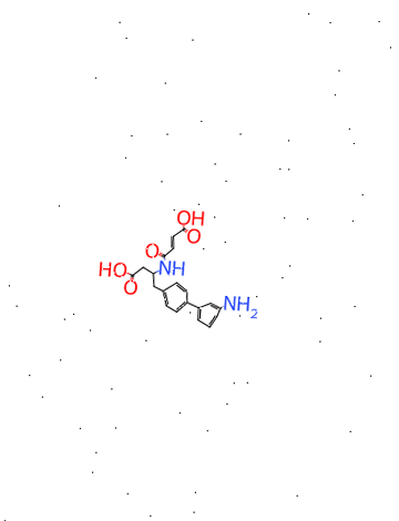 Nc1cccc(-c2ccc(CC(CC(=O)O)NC(=O)/C=C/C(=O)O)cc2)c1